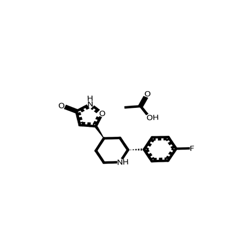 CC(=O)O.O=c1cc([C@@H]2CCN[C@@H](c3ccc(F)cc3)C2)o[nH]1